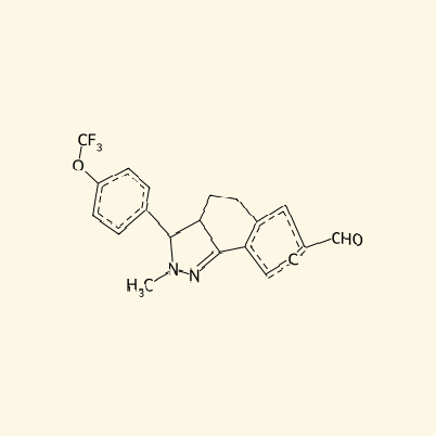 CN1N=C2c3ccc(C=O)cc3CCC2C1c1ccc(OC(F)(F)F)cc1